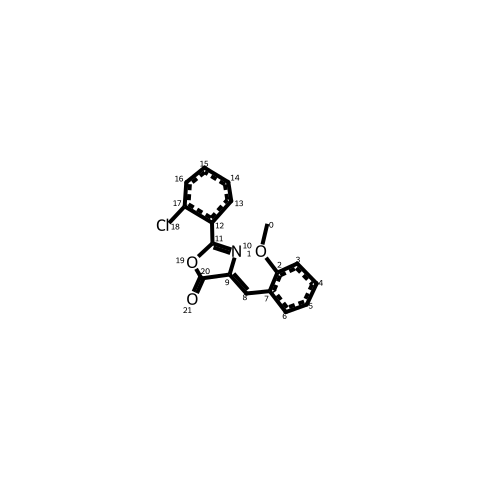 COc1ccccc1/C=C1\N=C(c2ccccc2Cl)OC1=O